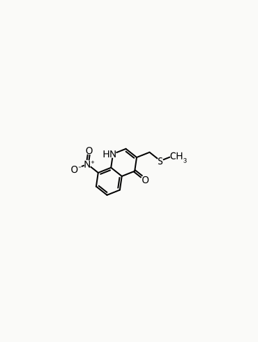 CSCc1c[nH]c2c([N+](=O)[O-])cccc2c1=O